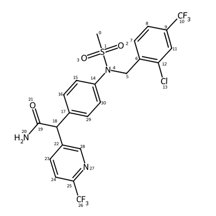 CS(=O)(=O)N(Cc1ccc(C(F)(F)F)cc1Cl)c1ccc(C(C(N)=O)c2ccc(C(F)(F)F)nc2)cc1